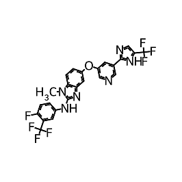 Cn1c(Nc2ccc(F)c(C(F)(F)F)c2)nc2cc(Oc3cncc(-c4ncc(C(F)(F)F)[nH]4)c3)ccc21